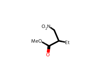 CCC(C[N+](=O)[O-])C(=O)OC